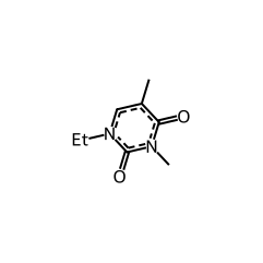 CCn1cc(C)c(=O)n(C)c1=O